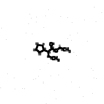 C[CH]OC(=O)C(CC)C1CCCC1